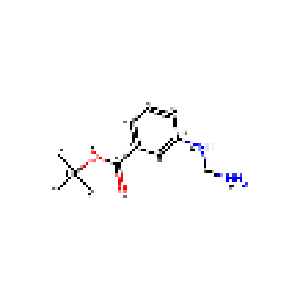 CC(C)(C)OC(=O)c1cccc(NCN)c1